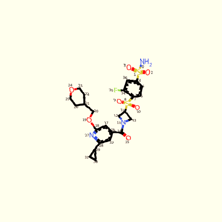 NS(=O)(=O)c1ccc(S(=O)(=O)C2CN(C(=O)c3cc(OCC4CCOCC4)nc(C4CC4)c3)C2)c(F)c1